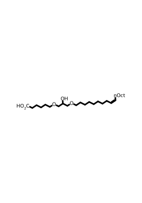 CCCCCCCC/C=C\CCCCCCCCOCC(O)COCCCCCC(=O)O